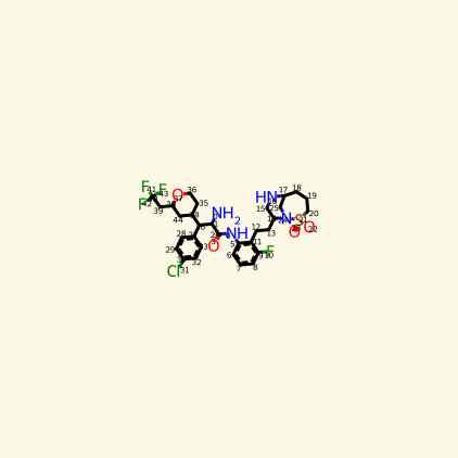 NC(C(=O)Nc1cccc(F)c1CCC1CNC2CCCS(=O)(=O)N1C2)C(c1ccc(Cl)cc1)C1CCOC(CC(F)(F)F)C1